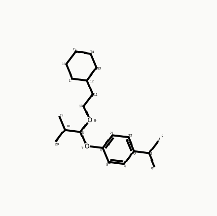 CC(I)c1ccc(OC(OCCC2CCCCC2)C(C)C)cc1